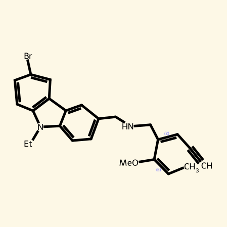 C#C/C=C(CNCc1ccc2c(c1)c1cc(Br)ccc1n2CC)\C(=C/C)OC